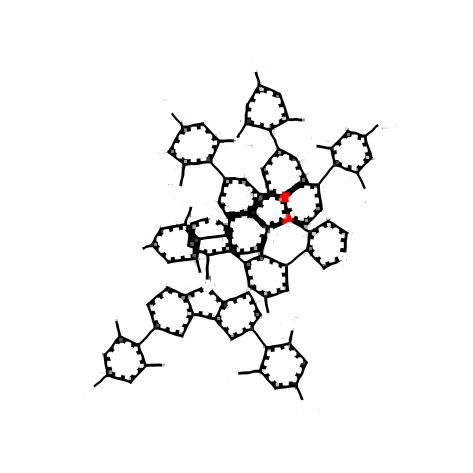 Cc1cc(C)c(-c2ccc3c(c2)c2cc(-c4c(C)cc(C)cc4C)ccc2n3-c2ccncc2-c2cc(C(F)(F)F)cc(-c3cnccc3-n3c4ccc(-c5c(C)cc(C)cc5C)cc4c4cc(-c5c(C)cc(C)cc5C)ccc43)c2-n2c3ccc(-c4c(C)cc(C)cc4C)cc3c3cc(-c4c(C)cc(C)cc4C)ccc32)c(C)c1